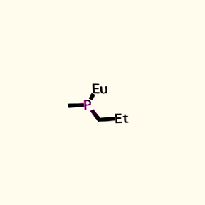 CCC[P](C)[Eu]